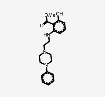 COC(=O)c1c(O)cccc1NCCN1CCN(c2ccccc2)CC1